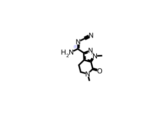 CN1CCc2c(/C(N)=N\C#N)nn(C)c2C1=O